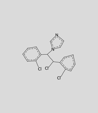 Clc1ccccc1C(Cl)C(c1ccccc1Cl)n1ccnc1